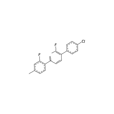 C=C(/C=C\C(=C(/C)F)c1ccc(Cl)cc1)c1ccc(C)cc1F